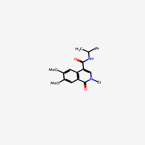 CCn1cc(C(=O)NC(C)C(C)C)c2cc(OC)c(OC)cc2c1=O